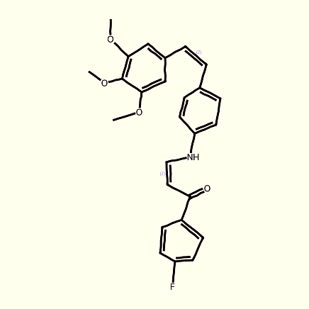 COc1cc(/C=C\c2ccc(N/C=C\C(=O)c3ccc(F)cc3)cc2)cc(OC)c1OC